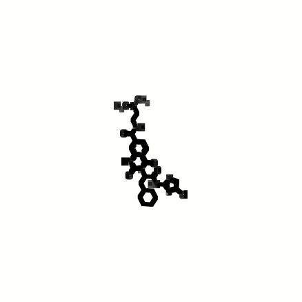 CN(C)CCNC(=O)c1ccc2c(=O)n(C(CC3CCCCC3)C(=O)Nc3ncc(Cl)s3)c(=O)[nH]c2c1